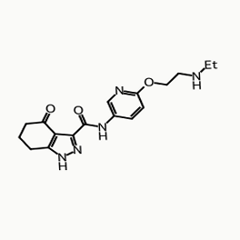 CCNCCOc1ccc(NC(=O)c2n[nH]c3c2C(=O)CCC3)cn1